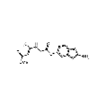 COC(=O)C=C(C)NCC(=O)Oc1ccc2nc(N)sc2c1